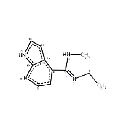 CC/N=C(\NC)c1ccnc2[nH]ccc12